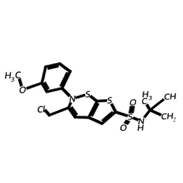 COc1cccc(N2Sc3sc(S(=O)(=O)NC(C)(C)C)cc3C=C2CCl)c1